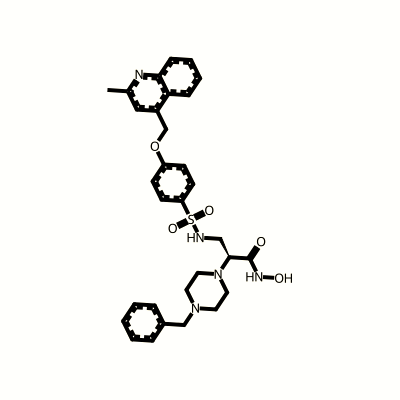 Cc1cc(COc2ccc(S(=O)(=O)NC[C@@H](C(=O)NO)N3CCN(Cc4ccccc4)CC3)cc2)c2ccccc2n1